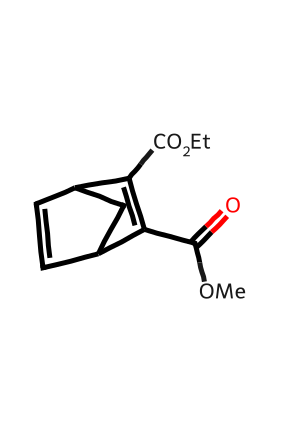 CCOC(=O)C1=C(C(=O)OC)C2C=CC1C2